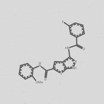 COc1ccccc1NC(=O)c1cc2c(NC(=O)c3cccc(F)c3)n[nH]c2s1